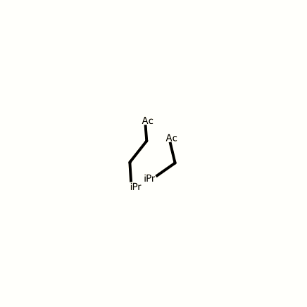 CC(=O)CC(C)C.CC(=O)CCC(C)C